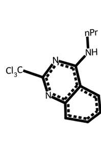 CCCNc1nc(C(Cl)(Cl)Cl)nc2ccccc12